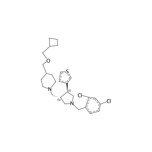 Clc1ccc(CN2C[C@H](CN3CCC(COCC4CCC4)CC3)[C@@H](c3ccsc3)C2)c(Cl)c1